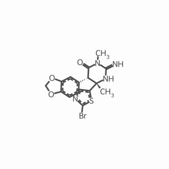 CN1C(=N)N[C@](C)(c2cnc(Br)s2)[C@H](c2ccc3c(c2)OCO3)C1=O